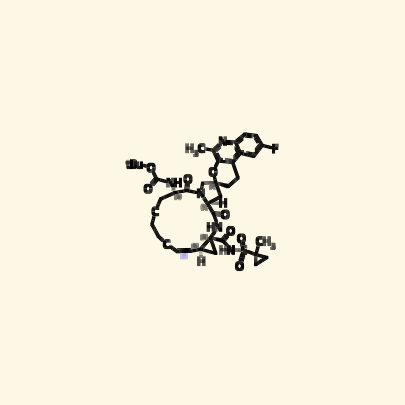 Cc1nc2ccc(F)cc2c2c1O[C@]1(CC2)C[C@H]2C(=O)N[C@]3(C(=O)NS(=O)(=O)C4(C)CC4)C[C@H]3/C=C\CCCCC[C@H](NC(=O)OC(C)(C)C)C(=O)N2C1